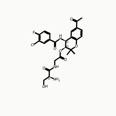 CC(=O)c1ccc2c(c1)[C@H](NC(=O)c1ccc(F)c(Cl)c1)[C@H](OC(=O)CNC(=O)[C@@H](N)CO)C(C)(C)O2